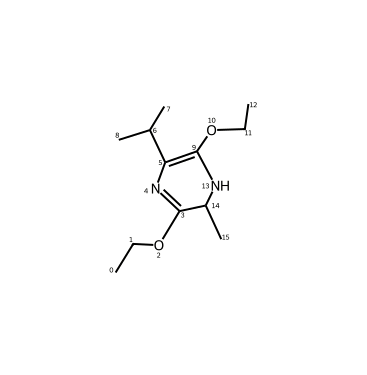 CCOC1=NC(C(C)C)=C(OCC)NC1C